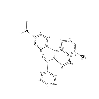 CN(C)c1ccc(-c2c(C(=O)c3ccccc3)cnc3c(C(F)(F)F)cccc23)cc1